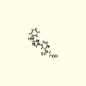 CCN(CCO)c1cc(-n2cnc(Nc3ccccc3)n2)ccn1